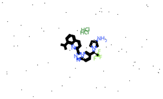 CC(C)c1cccc2ccc(-c3nnc4ccc([C@@H](N5CCC(N)C5)C(F)(F)F)cn34)nc12.Cl.Cl